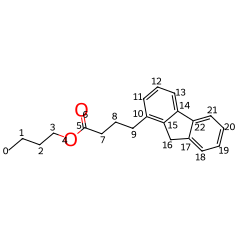 CCCCOC(=O)CCCc1cccc2c1Cc1ccccc1-2